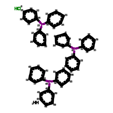 Cl.[HH].c1ccc(P(c2ccccc2)c2ccccc2)cc1.c1ccc(P(c2ccccc2)c2ccccc2)cc1.c1ccc(P(c2ccccc2)c2ccccc2)cc1